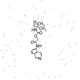 CC(C)(C)NC(=O)OCC(=O)Nc1csc2cnccc12